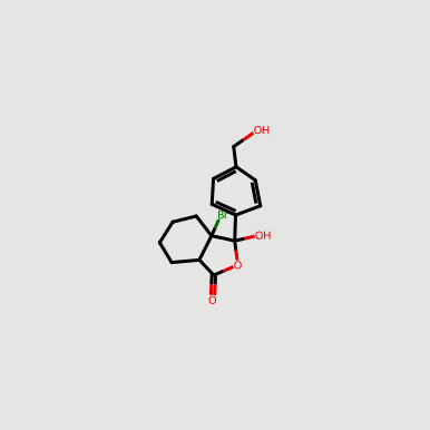 O=C1OC(O)(c2ccc(CO)cc2)C2(Br)CCCCC12